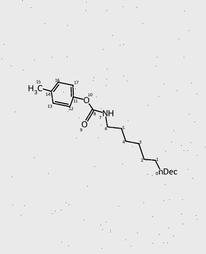 CCCCCCCCCCCCCCCCNC(=O)Oc1ccc(C)cc1